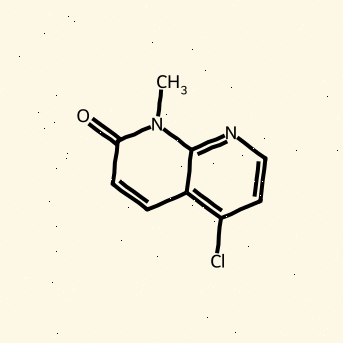 Cn1c(=O)ccc2c(Cl)ccnc21